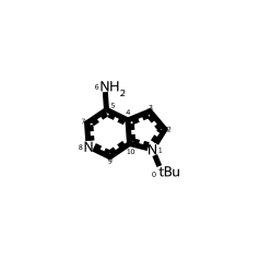 CC(C)(C)n1ccc2c(N)cncc21